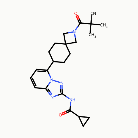 CC(C)(C#N)C(=O)N1CC2(CCC(c3cccc4nc(NC(=O)C5CC5)nn34)CC2)C1